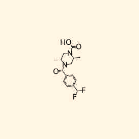 C[C@@H]1CN(C(=O)O)[C@@H](C)CN1C(=O)c1ccc(C(F)F)cc1